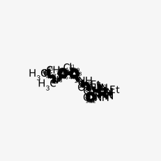 CCc1nc2c(cnn2CC)c(NC2CCOCC2)c1CNC(=O)CC(=O)NCc1ccc(Cl)c(-c2cccc(CN(C)CCN(C)C)c2)c1